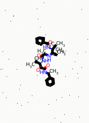 CC=C(N[C@@H](C)C(=O)N[C@H](C(=O)C(=O)N[C@H](C)c1ccccc1)C(C)C)[C@@H](NC(=O)c1ccccc1)C(C)(C)C